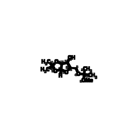 COC(C)(C)OC[C@H]1O[C@@H]2OC(C)(C)OC2C1O